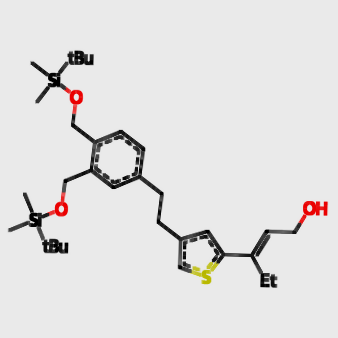 CCC(=CCO)c1cc(CCc2ccc(CO[Si](C)(C)C(C)(C)C)c(CO[Si](C)(C)C(C)(C)C)c2)cs1